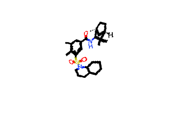 Cc1cc(C(=O)N[C@@H]2C(C)(C)[C@@H]3CC[C@@]2(C)C3)cc(S(=O)(=O)N2CCCC3CCCCC32)c1C